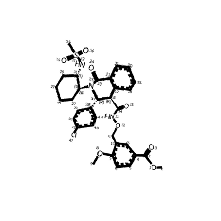 COC(=O)c1ccc(OC)c(CONC(=O)[C@@H]2c3ccccc3C(=O)N([C@H]3CCCC[C@@H]3NS(C)(=O)=O)[C@H]2c2ccc(Cl)cc2)c1